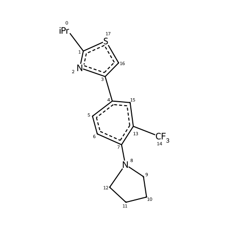 CC(C)c1nc(-c2ccc(N3CCCC3)c(C(F)(F)F)c2)cs1